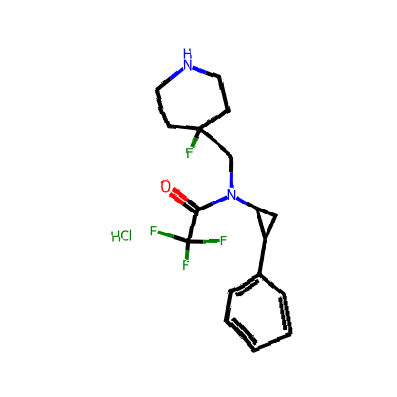 Cl.O=C(N(CC1(F)CCNCC1)C1CC1c1ccccc1)C(F)(F)F